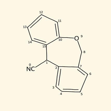 N#CC1c2ccccc2COc2ccccc21